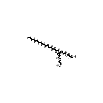 CCCCCCCCCCCCCCCCCCN(OCCOCCO)OCCOCCO